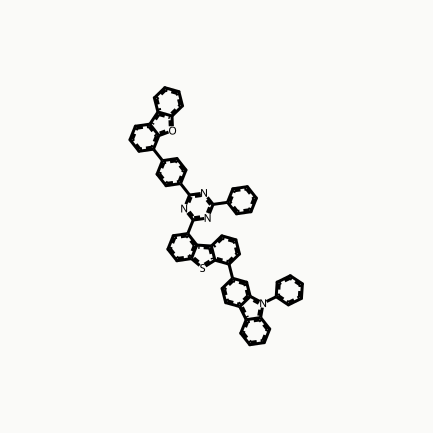 c1ccc(-c2nc(-c3ccc(-c4cccc5c4oc4ccccc45)cc3)nc(-c3cccc4sc5c(-c6ccc7c8ccccc8n(-c8ccccc8)c7c6)cccc5c34)n2)cc1